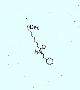 CCCCCCCCCCCCCCCCCC(=O)NCCc1ccccc1